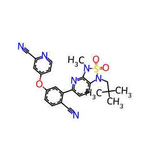 CN1c2nc(-c3cc(Oc4ccnc(C#N)c4)ccc3C#N)ccc2N(CC(C)(C)C)S1(=O)=O